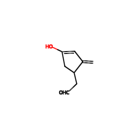 C=C1C=C(O)CC1CC=O